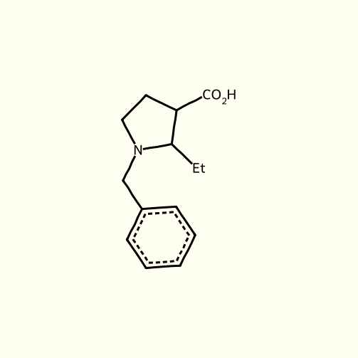 CCC1C(C(=O)O)CCN1Cc1ccccc1